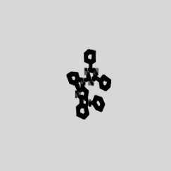 c1ccc(-c2nc(-c3ccccc3)nc(-n3c4ccccc4c4nc5c6ccccc6n(-c6ccccc6)c5cc43)n2)cc1